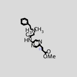 COC(=O)/C=C/c1cnc(N[C@H](C)CN(C)CCc2ccccc2)cn1